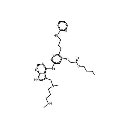 CCCCOC(=O)COc1cc(Nc2ncnc3[nH]cc(CN(C)CCCNC)c23)ccc1OCCNc1ncccn1